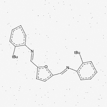 CC(C)(C)c1ccccc1N=Cc1ccc(C=Nc2ccccc2C(C)(C)C)o1